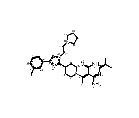 CC(C)=C/N=C(N)\C(C(N)=O)=C(/C)N1CCC(c2nc(-c3cccc(C)c3)cn2CCN2CCCC2)CC1